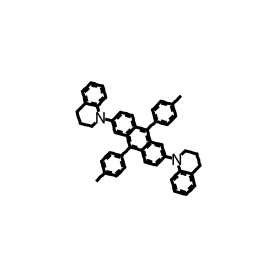 Cc1ccc(-c2c3ccc(N4CCCc5ccccc54)cc3c(-c3ccc(C)cc3)c3ccc(N4CCCc5ccccc54)cc23)cc1